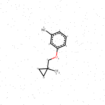 N#Cc1cccc(OCC2(C(F)(F)F)CC2)c1